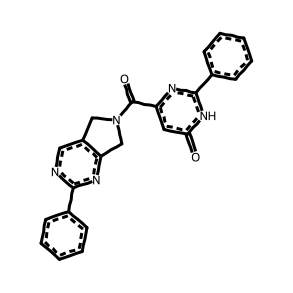 O=C(c1cc(=O)[nH]c(-c2ccccc2)n1)N1Cc2cnc(-c3ccccc3)nc2C1